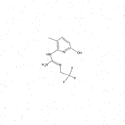 Cc1ccc(O)nc1NC(N)=NCC(F)(F)F